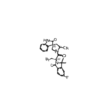 CC(C)C[C@@H](C(=O)N1C[C@]2(C[C@H]1C#N)C(=O)Nc1ccccc12)N1C(=O)c2ccc(F)cc2C1(C)C